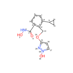 O=C(NO)c1cccc(C2CC2)c1COc1ccn(O)n1